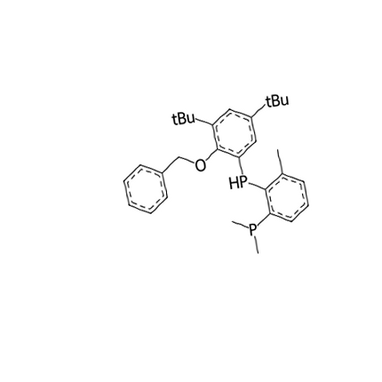 Cc1cccc(P(C)C)c1Pc1cc(C(C)(C)C)cc(C(C)(C)C)c1OCc1ccccc1